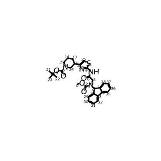 COC(=O)N(CC(=O)Nc1nc(C2CCCN(C(=O)OC(C)(C)C)C2)cs1)C1c2ccccc2-c2ccccc21